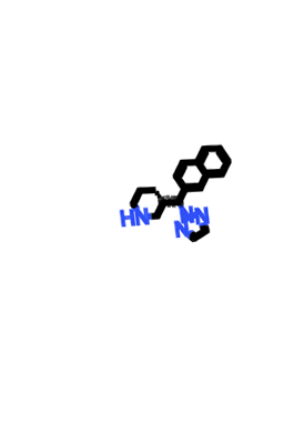 c1ccc2cc([C@H]([C@H]3CCCNC3)n3nccn3)ccc2c1